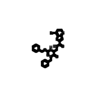 O=C(NC(CNC(=O)c1cc2nccc(Br)c2s1)C(=O)OCc1ccccc1)OCc1ccccc1